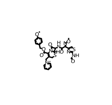 CON=C(C(=O)NC1C(=O)N2C(C(=O)OCc3ccc(OC)cc3)=C(C[n+]3ccccc3)CS[C@@H]12)c1csc(NC=O)n1